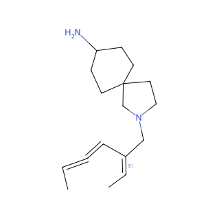 CC=C=C/C(=C\C)CN1CCC2(CCC(N)CC2)C1